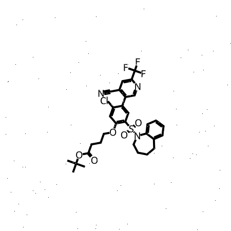 CC(C)(C)OC(=O)CCCOc1cc(Cl)c(-c2cnc(C(F)(F)F)cc2C#N)cc1S(=O)(=O)N1CCCCc2ccccc21